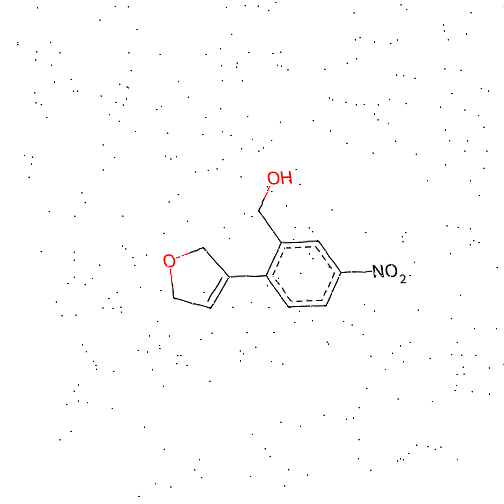 O=[N+]([O-])c1ccc(C2=CCOC2)c(CO)c1